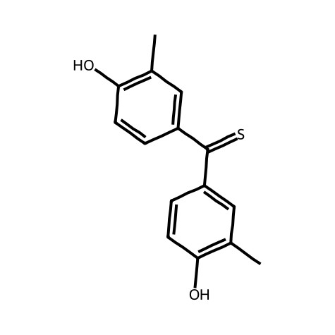 Cc1cc(C(=S)c2ccc(O)c(C)c2)ccc1O